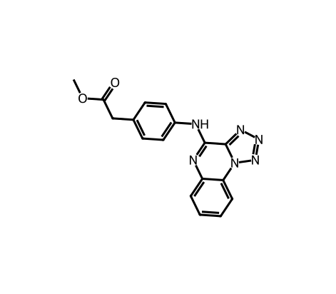 COC(=O)Cc1ccc(Nc2nc3ccccc3n3nnnc23)cc1